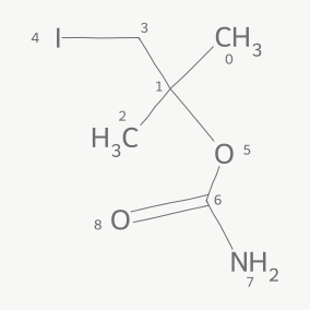 CC(C)(CI)OC(N)=O